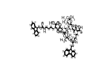 CN(C(=O)[C@H](CSSC[C@H](NC(=O)OC(C)(C)C)C(=O)N(C)[C@@H](CCCCNC(=O)OCC1c2ccccc2-c2ccccc21)C(=O)O)NC(=O)OC(C)(C)C)[C@@H](CCCCNC(=O)OCC1c2ccccc2-c2ccccc21)C(=O)O